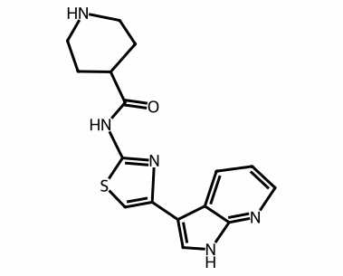 O=C(Nc1nc(-c2c[nH]c3ncccc23)cs1)C1CCNCC1